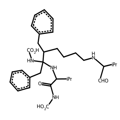 CC(C)C(C=O)NCCCCC(Cc1ccccc1)C(Cc1ccccc1)(NC(=O)O)NC(C(=O)NC(=O)O)C(C)C